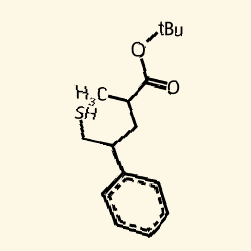 CC(CC(CS)c1ccccc1)C(=O)OC(C)(C)C